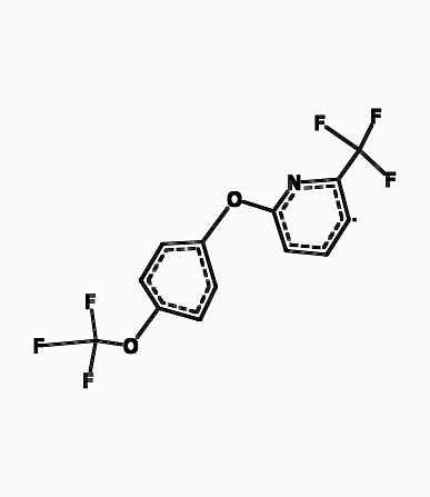 FC(F)(F)Oc1ccc(Oc2cc[c]c(C(F)(F)F)n2)cc1